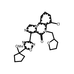 COC1(c2nc(-c3ncn4c3c(=O)n(CC3CCCO3)c3c(Cl)cccc34)no2)CCCC1